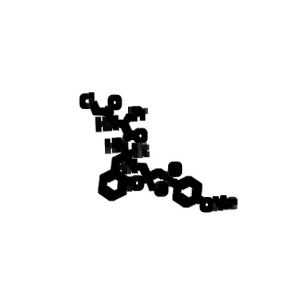 CC[C@](Cc1ccccc1)(NC[C@@](C)(O)CS(=O)(=O)c1ccc(OC)cc1)NC(=O)[C@@H](NC(=O)CCl)C(C)C